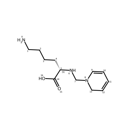 NCCCC[C@H](NCN1C=CC=CC1)C(=O)O